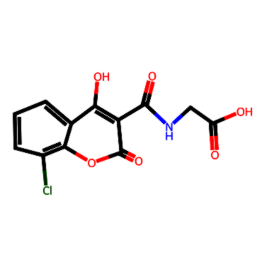 O=C(O)CNC(=O)c1c(O)c2cccc(Cl)c2oc1=O